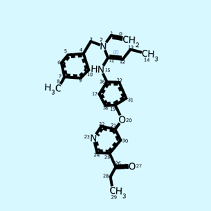 C=CN(Cc1ccc(C)cc1)/C(=C\CC)Nc1ccc(Oc2cncc(C(=O)CC)c2)cc1